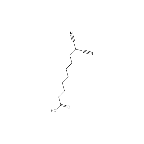 N#CC(C#N)CCCCCCCC(=O)O